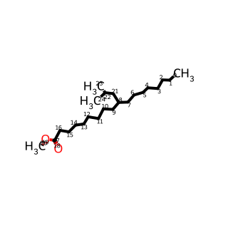 CCCCCCCCC(CCCCCCCCC(=O)OC)CC(C)C